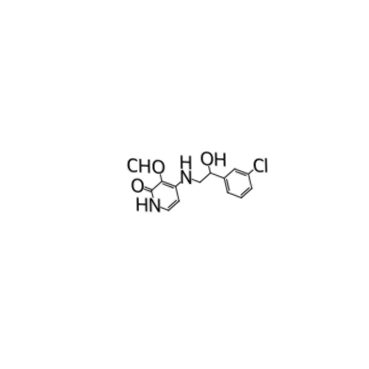 O=Cc1c(NCC(O)c2cccc(Cl)c2)cc[nH]c1=O